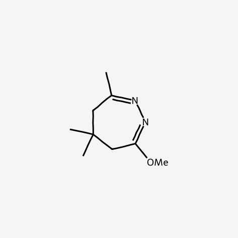 COC1=NN=C(C)CC(C)(C)C1